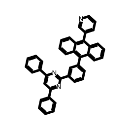 c1ccc(-c2cc(-c3ccccc3)nc(-c3cccc(-c4c5ccccc5c(-c5cccnc5)c5ccccc45)c3)n2)cc1